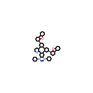 c1ccc(-n2ccn(-c3ccccc3)c3cc4c(cc32)c2cc(-c3cccc5c3oc3ccccc35)ccc2c2ccc(-c3cccc5c3oc3ccccc35)cc2c2cccnc24)cc1